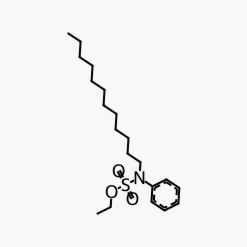 CCCCCCCCCCCCN(c1ccccc1)S(=O)(=O)OCC